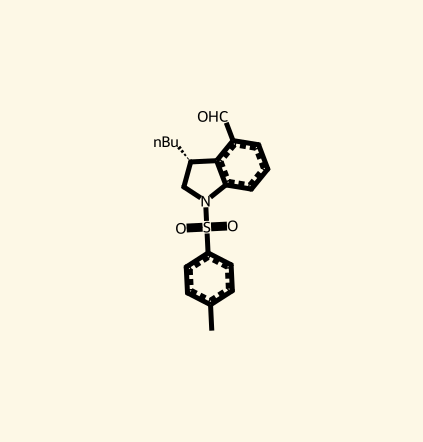 CCCC[C@H]1CN(S(=O)(=O)c2ccc(C)cc2)c2cccc(C=O)c21